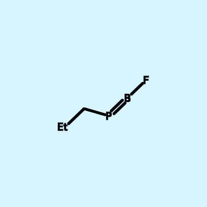 CCCP=BF